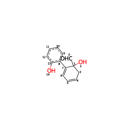 O=CC1(O)CC=CC=C1c1ccccc1O